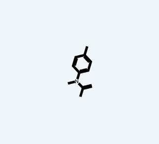 C=C(C)N(C)c1ccc(C)cc1